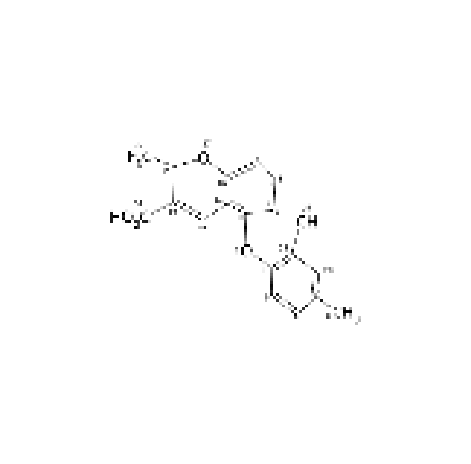 Cc1ccc(Oc2cccc3c2C=C(C(=O)O)C(C(F)(F)F)O3)c(C)c1